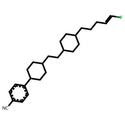 N#Cc1ccc(C2CCC(CCC3CCC(CCCC=CF)CC3)CC2)cc1